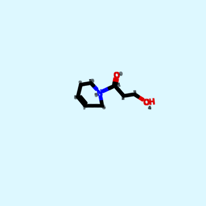 O=C(CCO)N1CC=CCC1